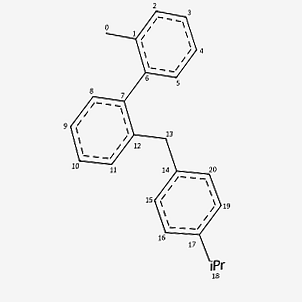 Cc1ccccc1-c1ccccc1Cc1ccc(C(C)C)cc1